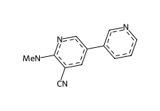 CNc1ncc(-c2cccnc2)cc1C#N